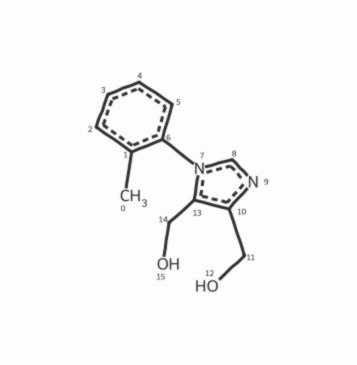 Cc1ccccc1-n1cnc(CO)c1CO